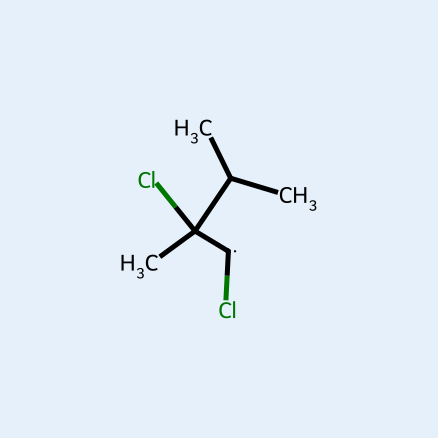 CC(C)C(C)(Cl)[CH]Cl